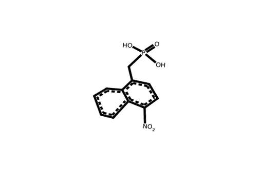 O=[N+]([O-])c1ccc(CP(=O)(O)O)c2ccccc12